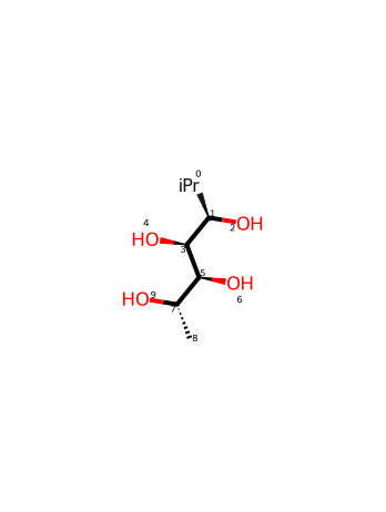 CC(C)[C@@H](O)[C@H](O)[C@@H](O)[C@H](C)O